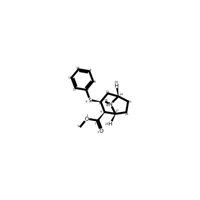 COC(=O)[C@H]1[C@@H](Sc2ccccc2)C[C@@H]2CC[C@H]1N2C